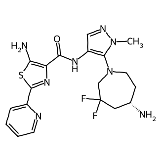 Cn1ncc(NC(=O)c2nc(-c3ccccn3)sc2N)c1N1CC[C@H](N)CC(F)(F)C1